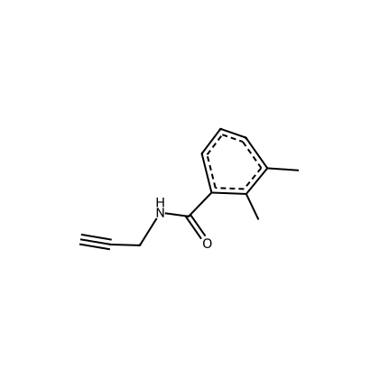 C#CCNC(=O)c1cccc(C)c1C